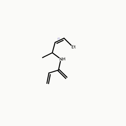 C=CC(=C)NC(C)/C=C\CC